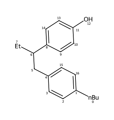 CCCCc1ccc(CC(CC)c2ccc(O)cc2)cc1